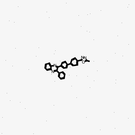 Cc1nnc(-c2ccc(-c3ccc(-c4nc5ccccc5nc4-c4ccccc4)cc3)cc2)o1